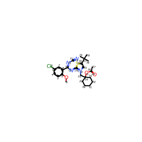 COc1ccc(Cl)cc1C(=N/C#N)/N=c1\sc(C(C)(C)C)cn1CC1(OC(C)=O)CCCCC1